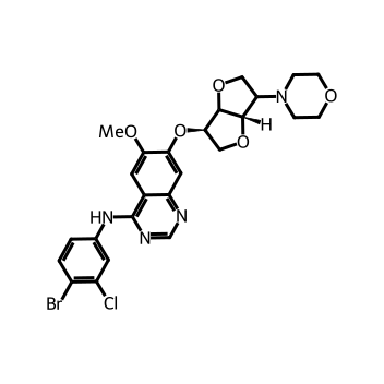 COc1cc2c(Nc3ccc(Br)c(Cl)c3)ncnc2cc1O[C@@H]1CO[C@@H]2C1OCC2N1CCOCC1